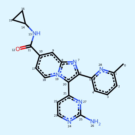 Cc1cccc(-c2nc3cc(C(=O)NC4CC4)ccn3c2-c2ccnc(N)n2)n1